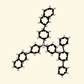 c1ccc(-c2ccc(-c3ccccc3)c(-c3ccc(N(c4ccc(-c5ccc6ccccc6c5)cc4)c4ccc(-c5ccc6ccccc6c5)cc4)cc3)c2)cc1